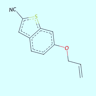 C=CCOc1ccc2cc(C#N)sc2c1